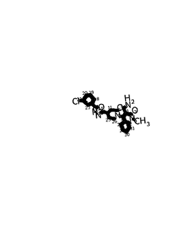 Cn1c(=O)c(C(N)=O)c(N2CCC(c3nnc(-c4cccc(Cl)c4)o3)CC2)c2ccccc21